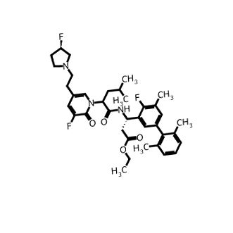 CCOC(=O)C[C@H](NC(=O)C(CC(C)C)n1cc(CCN2CC[C@@H](F)C2)cc(F)c1=O)c1cc(-c2c(C)cccc2C)cc(C)c1F